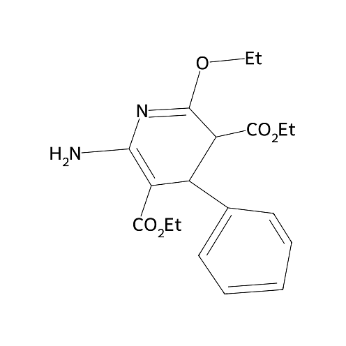 CCOC(=O)C1=C(N)N=C(OCC)C(C(=O)OCC)C1c1ccccc1